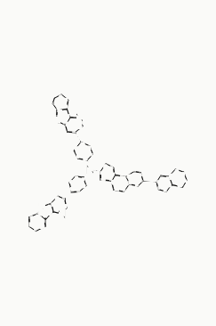 c1ccc2cc(-c3ccc4c(ccc5cc(N(c6ccc(-c7cnc8c(c7)sc7ccccc78)cc6)c6ccc(-c7cnc8c(c7)sc7ccccc78)cc6)ccc54)c3)ccc2c1